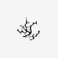 CCCCC(CC)C(=O)O.CCCCCCC(CCCC)C(P)(CCCC)CCCC